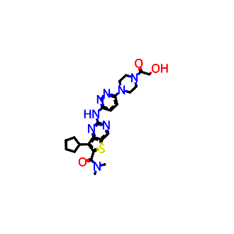 CN(C)C(=O)c1sc2cnc(Nc3ccc(N4CCN(C(=O)CO)CC4)nn3)nc2c1C1CCCC1